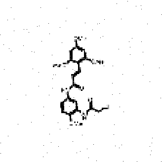 COc1cc(OC)c(C=CC(=O)Nc2ccc(OC)c([AsH]C(=O)CCl)c2)c(OC)c1